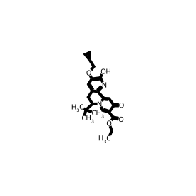 CCOC(=O)c1cn2c(cc1=O)-c1nc(O)c(OCC3CC3)cc1CC2C(C)(C)C